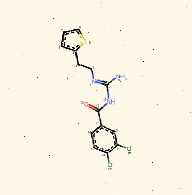 NC(=NCCc1cccs1)NC(=O)c1ccc(Cl)c(Cl)c1